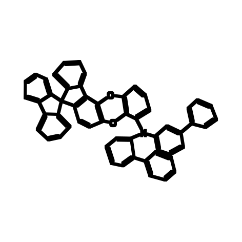 c1ccc(-c2cccc(N(c3ccccc3-c3ccccc3)c3cccc4c3Oc3ccc5c(c3O4)-c3ccccc3C53c4ccccc4-c4ccccc43)c2)cc1